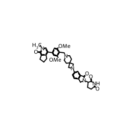 COc1cc(-c2cn(C)c(=O)c3c2CCC3)cc(OC)c1CN1CCC2(CC1)CN(c1ccc3c(c1)C(=O)N(C1CCC(=O)NC1=O)C3)C2